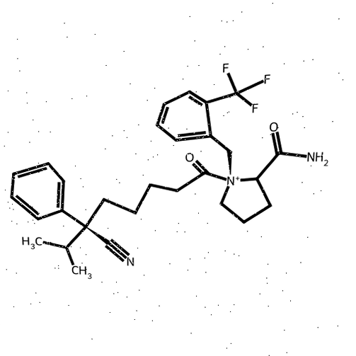 CC(C)[C@@](C#N)(CCCCC(=O)[N@@+]1(Cc2ccccc2C(F)(F)F)CCCC1C(N)=O)c1ccccc1